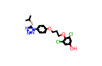 CC(C)Sc1nnnn1-c1ccc(OCCCOc2c(Cl)cc(O)cc2Cl)cc1